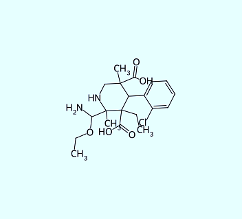 CCOC(N)C1(C)NCC(C)(C(=O)O)C(c2ccccc2Cl)C1(CC)C(=O)O